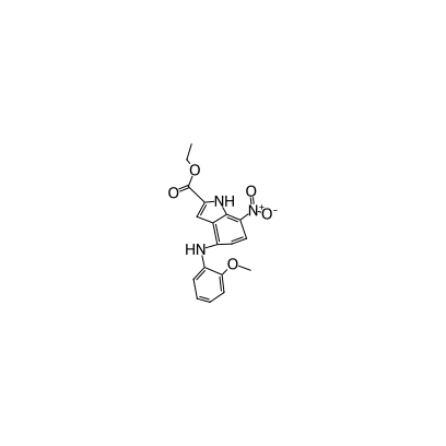 CCOC(=O)c1cc2c(Nc3ccccc3OC)ccc([N+](=O)[O-])c2[nH]1